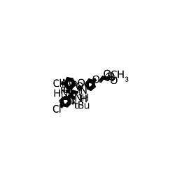 COc1cc(OCCCS(C)(=O)=O)ccc1NC(=O)[C@@H]1N[C@@H](CC(C)(C)C)[C@@]2(C(=O)Nc3cc(Cl)ccc32)[C@H]1c1cccc(Cl)c1F